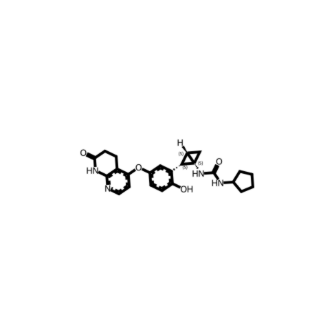 O=C1CCc2c(Oc3ccc(O)c([C@@H]4[C@@H]5C[C@@]45NC(=O)NC4CCCC4)c3)ccnc2N1